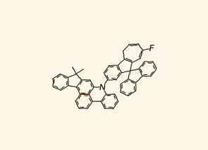 CC1(C)c2ccccc2-c2ccc(N(c3ccc4c(c3)C3(C5=C4CC=CC(F)=C5)c4ccccc4-c4ccccc43)c3ccccc3-c3ccccc3)cc21